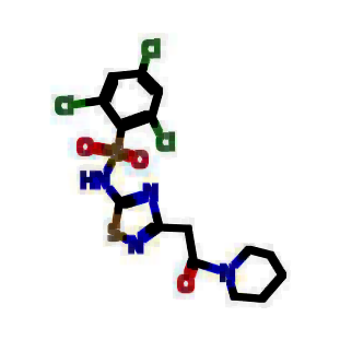 O=C(Cc1nsc(NS(=O)(=O)c2c(Cl)cc(Cl)cc2Cl)n1)N1CCCCC1